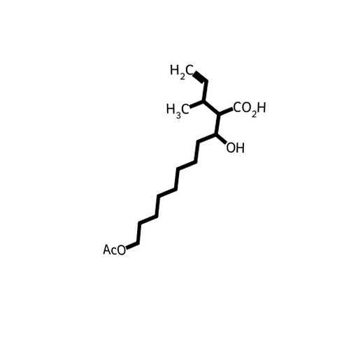 C=CC(C)C(C(=O)O)C(O)CCCCCCCCOC(C)=O